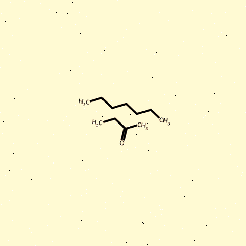 CCC(C)=O.CCCCCCC